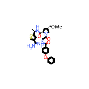 COC[C@H]1C[C@@H](C(=O)N[C@H](C)c2cc(C(=N)N)cs2)N(C(=O)CNC(=O)c2ccc(Oc3ccccc3)cc2)C1